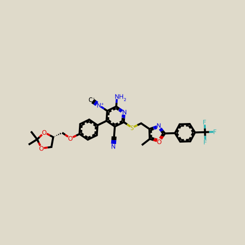 [C-]#[N+]c1c(N)nc(SCc2nc(-c3ccc(C(F)(F)F)cc3)oc2C)c(C#N)c1-c1ccc(OC[C@@H]2COC(C)(C)O2)cc1